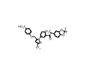 CN(C(=O)c1cccc(-n2nc(C(F)(F)F)cc2COc2ccc(C(=O)O)cc2)c1)c1ccc2c(c1)OC(F)(F)O2